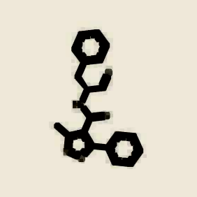 Cc1noc(-c2ccccc2)c1C(=O)N[C@H](C=O)Cc1ccccc1